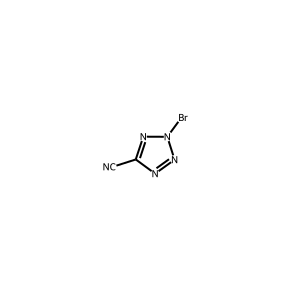 N#Cc1nnn(Br)n1